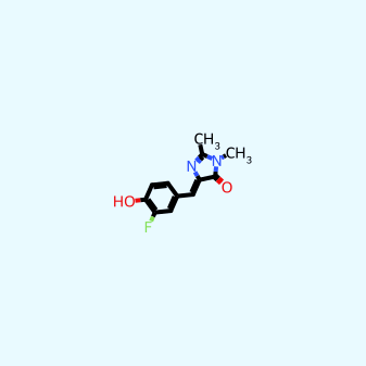 CC1=N/C(=C\c2ccc(O)c(F)c2)C(=O)N1C